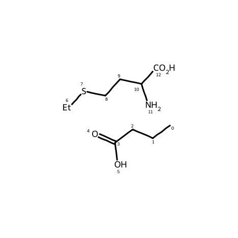 CCCC(=O)O.CCSCCC(N)C(=O)O